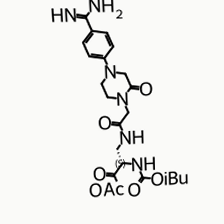 CC(=O)OC(=O)[C@H](CNC(=O)CN1CCN(c2ccc(C(=N)N)cc2)CC1=O)NC(=O)OCC(C)C